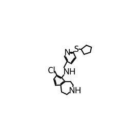 Clc1ccc2c(c1NCc1ccc(SC3CCCC3)nc1)CCNCC2